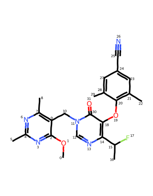 COc1nc(C)nc(C)c1Cn1cnc(C(C)F)c(Oc2c(C)cc(C#N)cc2C)c1=O